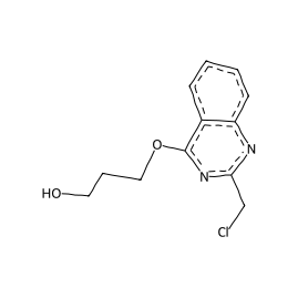 OCCCOc1nc(CCl)nc2ccccc12